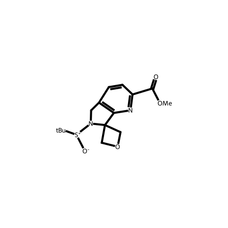 COC(=O)c1ccc2c(n1)C1(COC1)N([S+]([O-])C(C)(C)C)C2